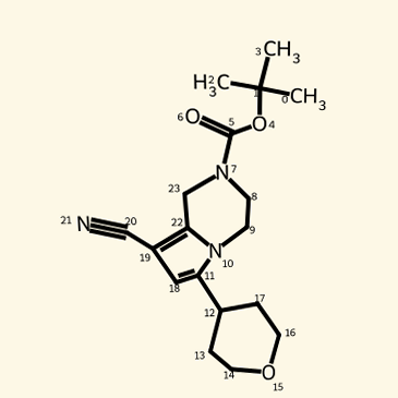 CC(C)(C)OC(=O)N1CCn2c(C3CCOCC3)cc(C#N)c2C1